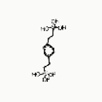 O[Si](O)(O)CCc1ccc(CC[Si](O)(O)O)cc1